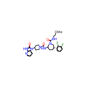 COCCNC(=O)N1C[C@H](NC(=O)N2CCC(n3c(=O)[nH]c4ncccc43)CC2)CC[C@@H](c2cccc(F)c2F)C1